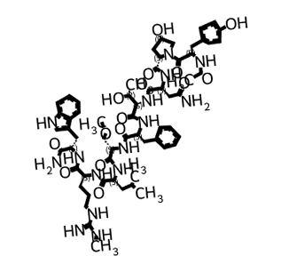 CNC(=N)NCCC[C@H](NC(=O)[C@H](CC(C)C)NC(=O)[C@H](COC)NC(=O)[C@H](Cc1ccccc1)NC(=O)[C@@H](NC(=O)[C@H](CC(N)=O)NC(=O)[C@@H]1C[C@@H](O)CN1C(=O)[C@@H](Cc1ccc(O)cc1)NC(C)=O)[C@@H](C)O)C(=O)N[C@@H](Cc1c[nH]c2ccccc12)C(N)=O